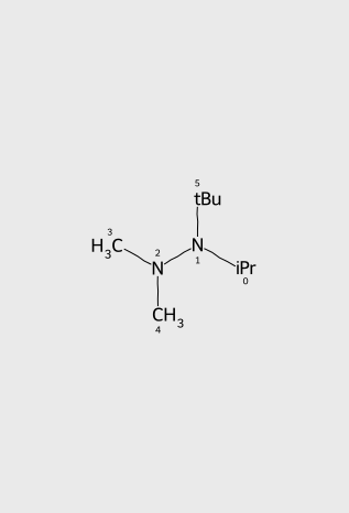 CC(C)N(N(C)C)C(C)(C)C